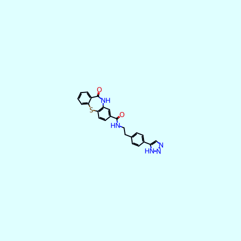 O=C(NCCc1ccc(-c2cnn[nH]2)cc1)c1ccc2c(c1)NC(=O)c1ccccc1S2